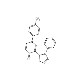 O=c1ccn(-c2ccc(C(F)(F)F)cc2)nc1C1CC=NN1c1ccccc1